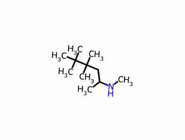 CNC(C)CC(C)(C)C(C)(C)C